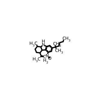 C=C(C)C1CCC(C)C2Nc3cc(C(C)(C)CCCC)cc(N=O)c3C12